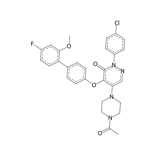 COc1cc(F)ccc1-c1ccc(Oc2c(N3CCN(C(C)=O)CC3)cnn(-c3ccc(Cl)cc3)c2=O)cc1